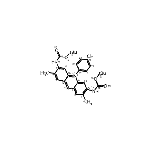 Cc1cc2nc3cc(C)c(NC(=O)OC(C)(C)C)cc3[n+](-c3ccccc3)c2cc1NC(=O)OC(C)(C)C.[Cl-]